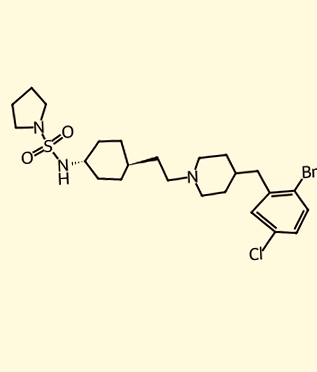 O=S(=O)(N[C@H]1CC[C@H](CCN2CCC(Cc3cc(Cl)ccc3Br)CC2)CC1)N1CCCC1